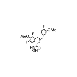 COc1cc(CN(CCC(=O)NO)Cc2ccc(F)c(OC)c2F)ccc1F